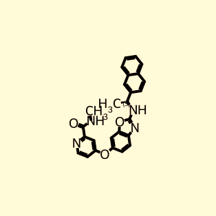 CNC(=O)c1cc(Oc2ccc3nc(N[C@@H](C)c4ccc5ccccc5c4)oc3c2)ccn1